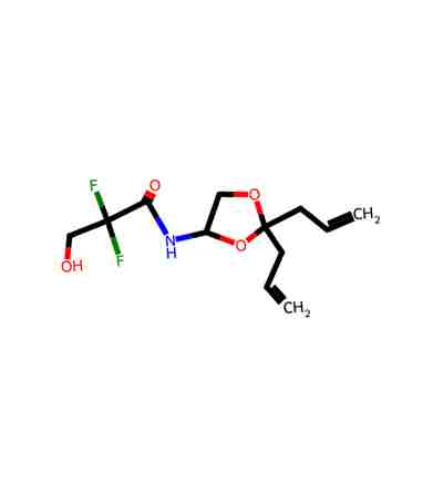 C=CCC1(CC=C)OCC(NC(=O)C(F)(F)CO)O1